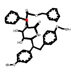 CC(C)(C)Oc1ccc(CC(c2ccc(OC(C)(C)C)cc2)C(NC(=O)OCc2ccccc2)C(O)C(O)CNC(=O)OCc2ccccc2)cc1